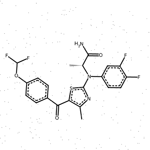 Cc1nc(N(c2ccc(F)c(F)c2)[C@H](C)C(N)=O)sc1C(=O)c1ccc(OC(F)F)cc1